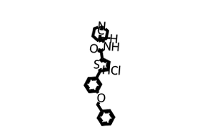 Cl.O=C(N[C@H]1CN2CCC1CC2)c1ccc(-c2cccc(OCc3ccccc3)c2)s1